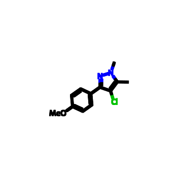 COc1ccc(-c2nn(C)c(C)c2Cl)cc1